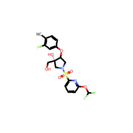 N#Cc1ccc(OC2CN(S(=O)(=O)c3cccc(OC(F)F)n3)C[C@@]2(O)CO)cc1F